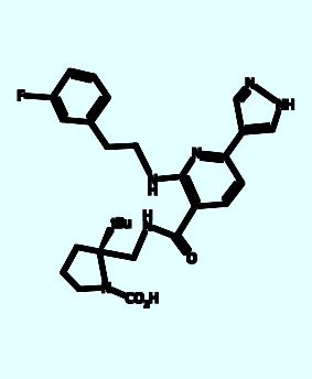 CC(C)(C)[C@]1(CNC(=O)c2ccc(-c3cn[nH]c3)nc2NCCc2cccc(F)c2)CCCN1C(=O)O